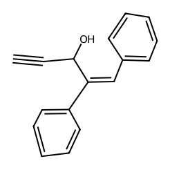 C#CC(O)C(=Cc1ccccc1)c1ccccc1